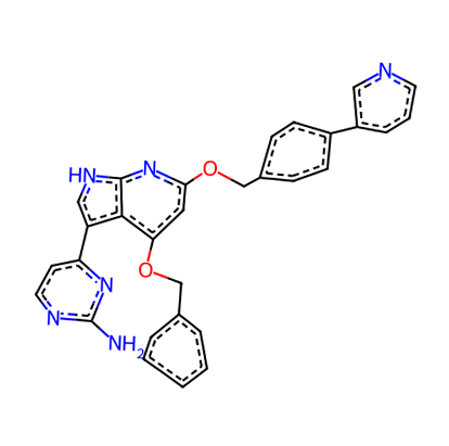 Nc1nccc(-c2c[nH]c3nc(OCc4ccc(-c5cccnc5)cc4)cc(OCc4ccccc4)c23)n1